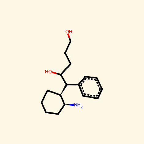 N[C@H]1CCCC[C@H]1C(c1ccccc1)C(O)CCCO